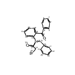 O=C(c1ccccc1)c1ccccc1N(Cc1ccccc1)C(=O)CBr